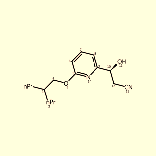 CCCC(CCC)COc1cccc([C@@H](O)CC#N)n1